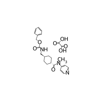 CN(c1ccncc1)C(=O)[C@H]1CC[C@H](CNC(=O)OCc2ccccc2)CC1.O=C(O)C(=O)O